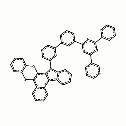 c1ccc(-c2cc(-c3cccc(-c4cccc(-n5c6ccccc6c6c7ccccc7c7c(c65)Sc5ccccc5S7)c4)c3)nc(-c3ccccc3)n2)cc1